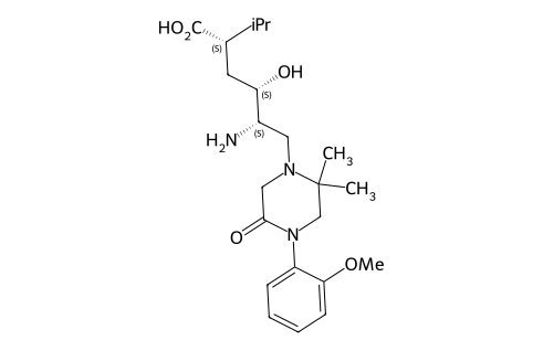 COc1ccccc1N1CC(C)(C)N(C[C@H](N)[C@@H](O)C[C@H](C(=O)O)C(C)C)CC1=O